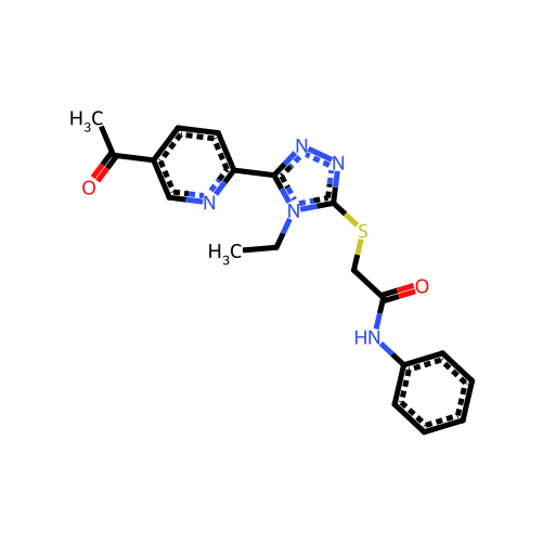 CCn1c(SCC(=O)Nc2ccccc2)nnc1-c1ccc(C(C)=O)cn1